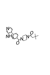 CC(C)(C)CC(=O)N1CCN(C(=O)c2ccc(-c3ccncc3N)cc2)CC1